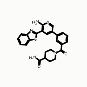 NC(=O)C1CCN(C(=O)c2cccc(-c3cnc(N)c(-c4nc5ccccc5s4)c3)c2)CC1